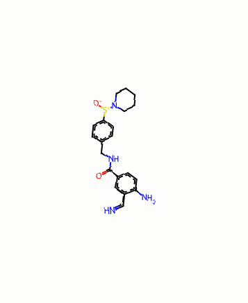 N=Cc1cc(C(=O)NCc2ccc([S+]([O-])N3CCCCC3)cc2)ccc1N